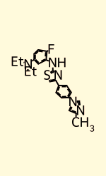 CCN(CC)c1ccc(F)c(Nc2nc(-c3ccc(-n4cnc(C)c4)cc3)cs2)c1